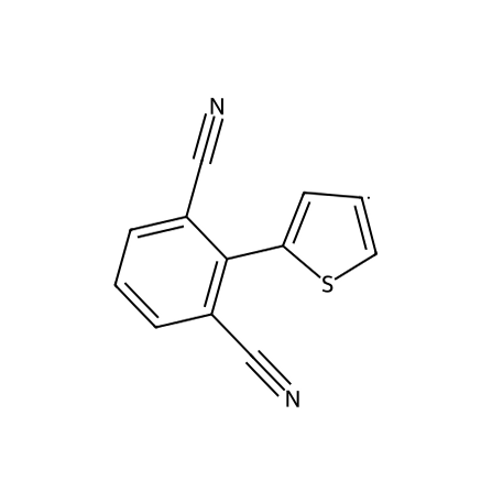 N#Cc1cccc(C#N)c1-c1c[c]cs1